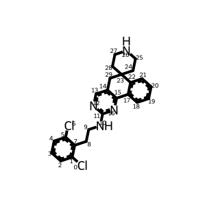 Clc1cccc(Cl)c1CCNc1ncc2c(n1)-c1ccccc1C1(CCNCC1)C2